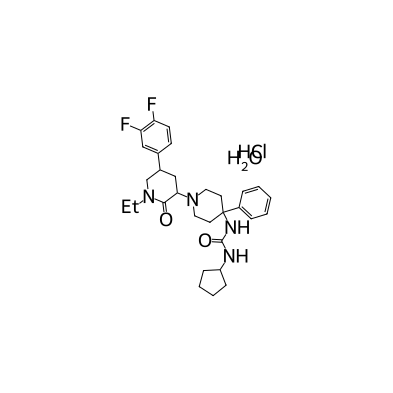 CCN1CC(c2ccc(F)c(F)c2)CC(N2CCC(NC(=O)NC3CCCC3)(c3ccccc3)CC2)C1=O.Cl.O